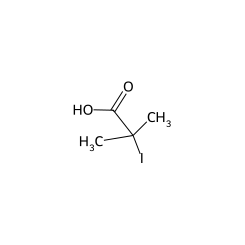 CC(C)(I)C(=O)O